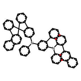 c1ccc(-c2cc(N(c3ccccc3)c3ccc4c(c3)C3(c5ccccc5-4)c4ccccc4-c4c3ccc3ccccc43)ccc2N(c2ccccc2)c2ccccc2-c2ccc3ccccc3c2)cc1